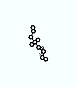 c1cc(-c2ccc3ccccc3c2)cc(-c2c3ccccc3c(-c3ccc4c(c3)sc3ccc5c(sc6ccc7ccccc7c65)c34)c3ccccc23)c1